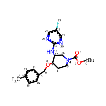 CC(C)(C)OC(=O)N1CC[C@@H](OCc2ccc(C(F)(F)F)cc2)[C@H](Nc2ncc(F)cn2)C1